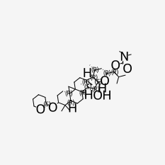 CC(C)[C@@H](OC(=O)N(C)C)[C@H]1C[C@@H](C)[C@H]2[C@H](O1)[C@H](O)[C@@]1(C)[C@@H]3CC[C@H]4C(C)(C)C(O[C@H]5CCCCO5)CC[C@@]45CC35CC[C@]21C